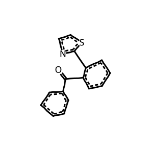 O=C(c1ccccc1)c1ccccc1-c1nccs1